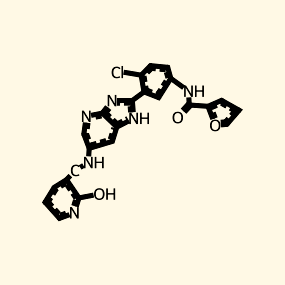 O=C(Nc1ccc(Cl)c(-c2nc3ncc(NCc4cccnc4O)cc3[nH]2)c1)c1ccco1